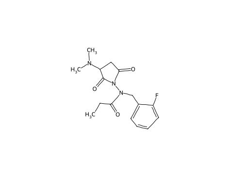 CCC(=O)N(Cc1ccccc1F)N1C(=O)CC(N(C)C)C1=O